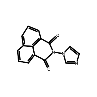 O=C1c2cccc3cccc(c23)C(=O)N1n1ccnc1